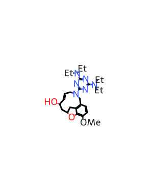 CCN(CC)c1nc(N(CC)CC)nc(N2C/C=C/[C@H](O)CC3Cc4c(ccc(OC)c4O3)C2)n1